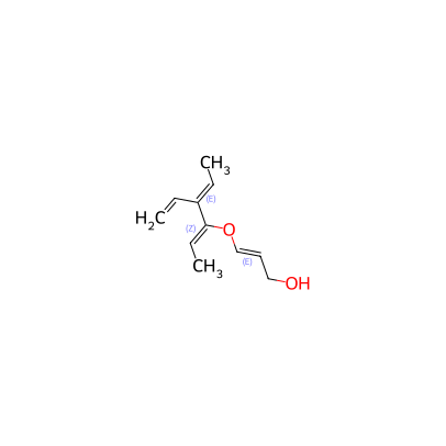 C=CC(=C\C)/C(=C/C)O/C=C/CO